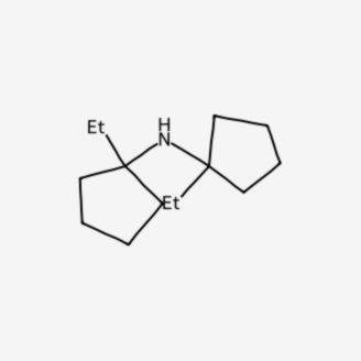 CCC1(NC2(CC)CCCC2)CCCC1